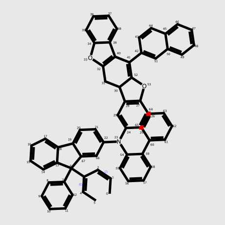 C/C=C\C(=C/C)C1(c2ccccc2)c2ccccc2-c2ccc(N(c3ccc4c(c3)C3Cc5oc6ccccc6c5C(c5ccc6ccccc6c5)=C3O4)c3ccccc3-c3ccccc3)cc21